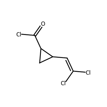 O=C(Cl)C1CC1C=C(Cl)Cl